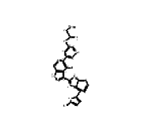 CC(=O)c1ccc(-c2cccc3[nH]c(-c4n[nH]c5cnc(-c6cncc(NC(O)CC(C)(C)C)c6)c(F)c45)nc23)s1